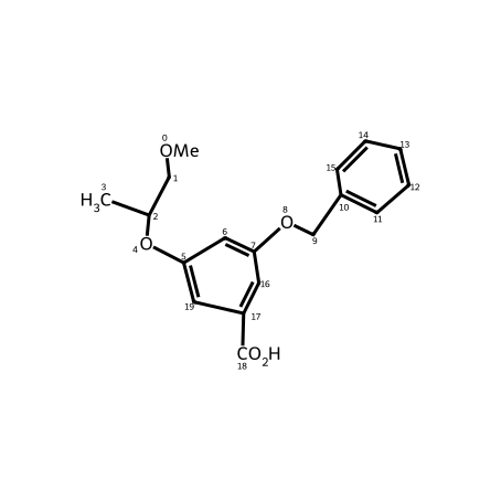 COCC(C)Oc1cc(OCc2ccccc2)cc(C(=O)O)c1